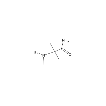 CCN(C)C(C)(C)C(N)=O